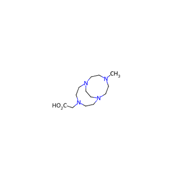 CN1CCN2CCN(CC1)CCN(CC(=O)O)CC2